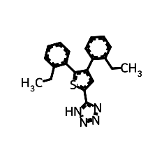 CCc1ccccc1-c1cc(-c2nnn[nH]2)sc1-c1ccccc1CC